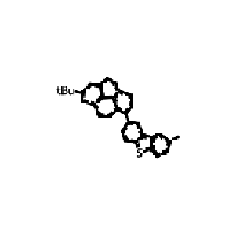 Cc1ccc2sc3ccc(-c4ccc5ccc6cc(C(C)(C)C)cc7ccc4c5c67)cc3c2c1